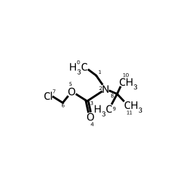 CCN(C(=O)OCCl)C(C)(C)C